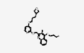 CCCCOc1c(C)c(COc2cc(OCCCC3COC3)ccn2)nc2ccccc12